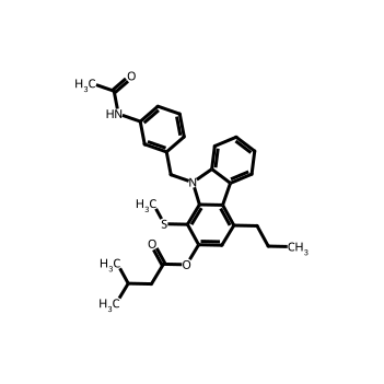 CCCc1cc(OC(=O)CC(C)C)c(SC)c2c1c1ccccc1n2Cc1cccc(NC(C)=O)c1